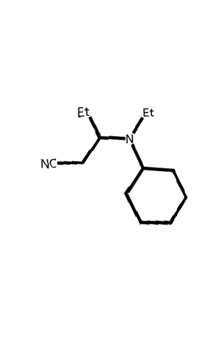 CCC(CC#N)N(CC)C1CCCCC1